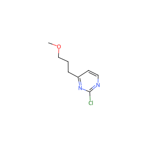 COCCCc1ccnc(Cl)n1